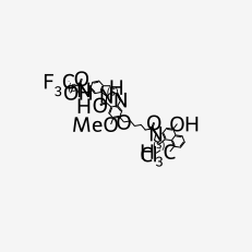 COc1cc2c(cc1OCCCCC(=O)N1C[C@@H](CCl)c3c1cc(O)c1cccc(C)c31)N=C[C@@H]1Cc3ccc(NC(=O)[C@H](O)C(F)(F)F)cc3N1C2=O